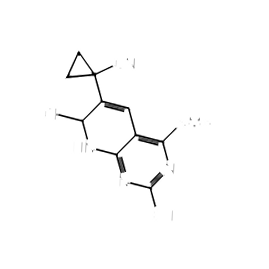 CSc1nc(C)nc2c1C=C(C1(C#N)CC1)C(Cl)N2